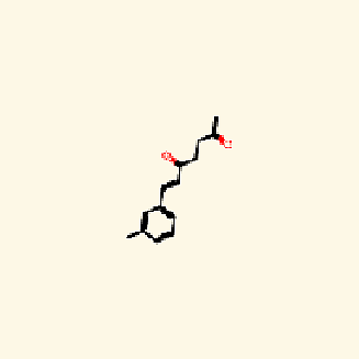 CC(=O)CCC(=O)/C=C/c1cccc(C)c1